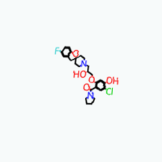 O=C(c1cc(Cl)c(O)cc1OC[C@H](O)CN1CCC2(CC1)Cc1cc(F)ccc1O2)N1CCCC1